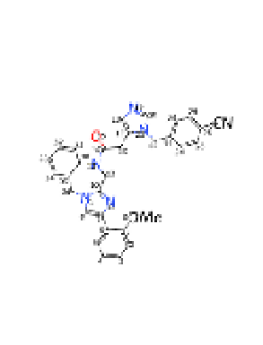 COc1ccccc1-c1cn2c(n1)CN(C(=O)Cc1cncn1Cc1ccc(C#N)cc1)C1C=CC=CC1C2